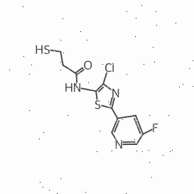 O=C(CCS)Nc1sc(-c2cncc(F)c2)nc1Cl